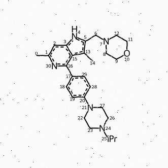 Cc1cc2[nH]c(CN3CCOCC3)c(C)c2c(-c2ccc(N3CCN(C(C)C)CC3)cc2)n1